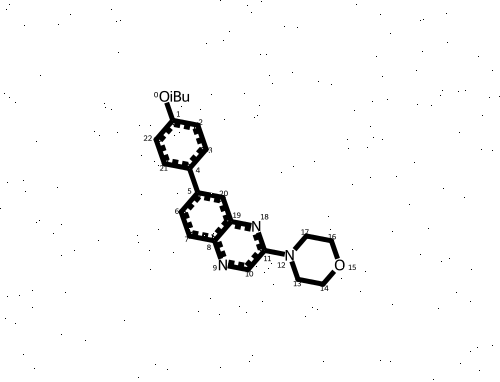 CC(C)COc1ccc(-c2ccc3ncc(N4CCOCC4)nc3c2)cc1